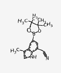 Cc1c[nH]c2c(C#N)cc(B3OC(C)(C)C(C)(C)O3)cc12